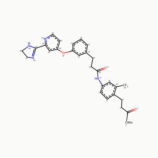 COC(=O)CCc1ccc(NC(=O)CCc2cccc(Oc3ccnc(C4=NCCN4)c3)c2)cc1C(F)(F)F